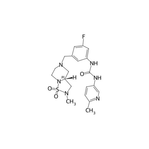 Cc1ccc(NC(=O)Nc2cc(F)cc(CN3CCN4[C@H](C3)CN(C)S4(=O)=O)c2)cn1